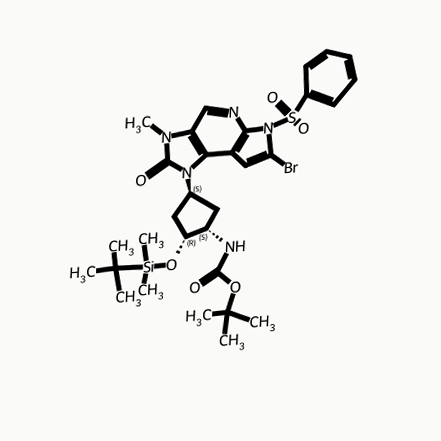 Cn1c(=O)n([C@H]2C[C@H](NC(=O)OC(C)(C)C)[C@H](O[Si](C)(C)C(C)(C)C)C2)c2c3cc(Br)n(S(=O)(=O)c4ccccc4)c3ncc21